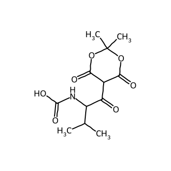 CC(C)C(NC(=O)O)C(=O)C1C(=O)OC(C)(C)OC1=O